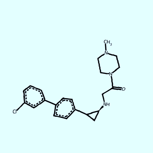 CN1CCN(C(=O)CN[C@H]2CC2c2ccc(-c3cccc(Cl)c3)cc2)CC1